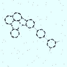 Clc1cc(Br)cc(-c2ccc(-c3ccc4c5ccc6cccc7c8ccccc8n(c4c3)c5c67)cc2)c1